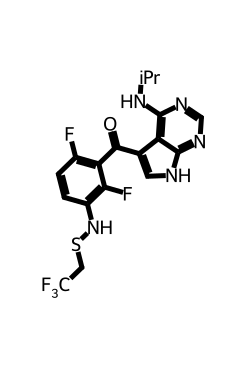 CC(C)Nc1ncnc2[nH]cc(C(=O)c3c(F)ccc(NSCC(F)(F)F)c3F)c12